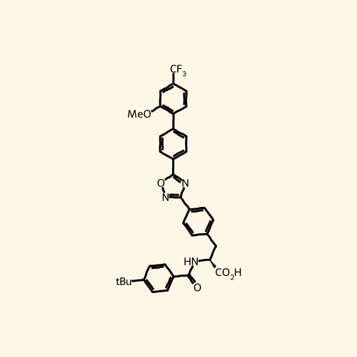 COc1cc(C(F)(F)F)ccc1-c1ccc(-c2nc(-c3ccc(C[C@H](NC(=O)c4ccc(C(C)(C)C)cc4)C(=O)O)cc3)no2)cc1